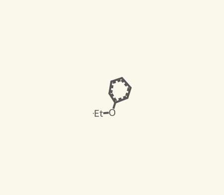 C[CH]Oc1ccccc1